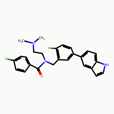 CN(C)CCN(Cc1cc(-c2ccc3[nH]ccc3c2)ccc1F)C(=O)c1ccc(F)cc1